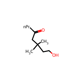 CCCC(=O)CC(C)(C)CCO